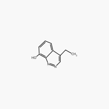 CCc1cnnc2c(O)cccc12